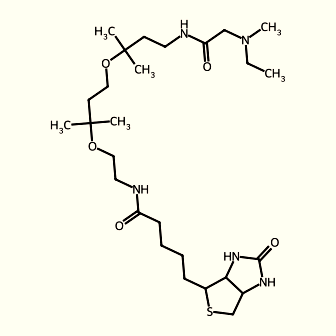 CCN(C)CC(=O)NCCC(C)(C)OCCC(C)(C)OCCNC(=O)CCCCC1SCC2NC(=O)NC21